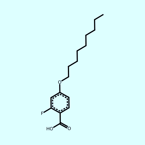 CCCCCCCCCOc1ccc(C(=O)O)c(F)c1